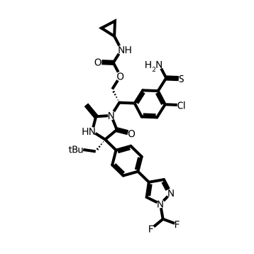 C=C1N[C@](CC(C)(C)C)(c2ccc(-c3cnn(C(F)F)c3)cc2)C(=O)N1[C@H](COC(=O)NC1CC1)c1ccc(Cl)c(C(N)=S)c1